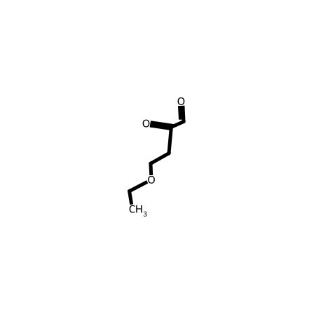 CCOCCC(=O)C=O